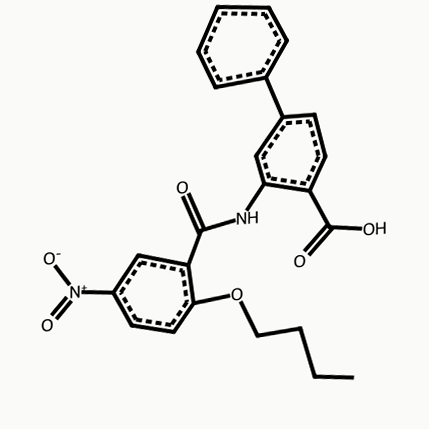 CCCCOc1ccc([N+](=O)[O-])cc1C(=O)Nc1cc(-c2ccccc2)ccc1C(=O)O